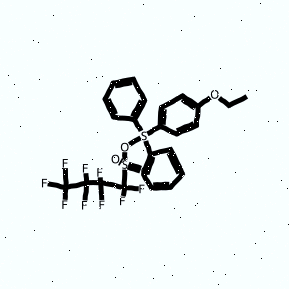 CCOc1ccc(S(OS(=O)(=O)C(F)(F)C(F)(F)C(F)(F)C(F)(F)F)(c2ccccc2)c2ccccc2)cc1